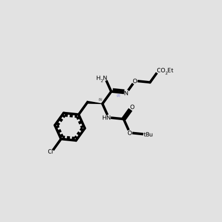 CCOC(=O)CO/N=C(\N)[C@H](Cc1ccc(Cl)cc1)NC(=O)OC(C)(C)C